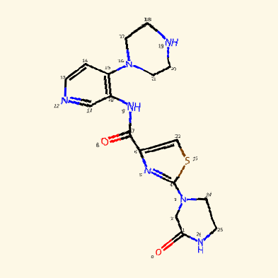 O=C1CN(c2nc(C(=O)Nc3cnccc3N3CCNCC3)cs2)CCN1